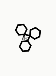 CCCC1(C2(C3CCCCC3)CCCCC2)CCCCC1